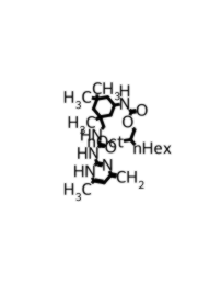 C=C1C=C(C)NC(NC(=O)NCC2(C)CC(NC(=O)OCC(CCCCCC)CCCCCCCC)CC(C)(C)C2)=N1